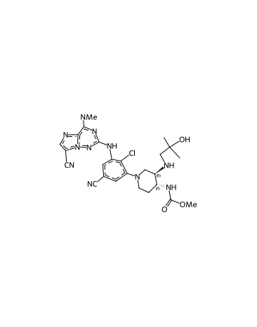 CNc1nc(Nc2cc(C#N)cc(N3CC[C@@H](NC(=O)OC)[C@H](NCC(C)(C)O)C3)c2Cl)nn2c(C#N)cnc12